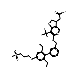 CCc1cc(OCCCS(C)(=O)=O)cc(CC)c1-c1cccc(COc2ncc3c(c2C(F)(F)F)SCC3CC(=O)O)c1